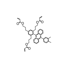 C=CC(=O)OCCCc1cc(CCCOC(=O)C=C)c(-c2c3ccccc3c(-c3ccc(C)c(C)c3)c3ccccc23)c(CCCOC(=O)C=C)c1